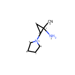 N#CC1(N)CC1N1CCCC1